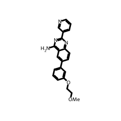 COCCOc1cccc(-c2ccc3nc(-c4cccnc4)nc(N)c3c2)c1